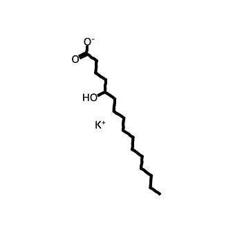 CCCCCCCCCCCC(O)CCCC(=O)[O-].[K+]